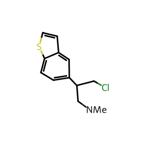 CNCC(CCl)c1ccc2sccc2c1